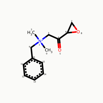 C[N+](C)(CC(=O)C1CO1)Cc1ccccc1